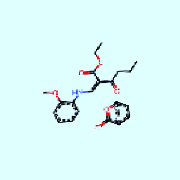 CCCC(=O)C(=CNc1ccccc1OC)C(=O)OCC.O=c1oc2ccc1cc2